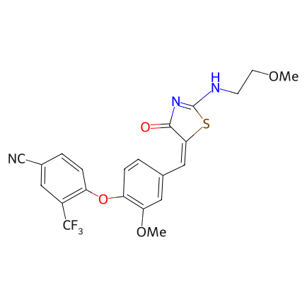 COCCNC1=NC(=O)/C(=C\c2ccc(Oc3ccc(C#N)cc3C(F)(F)F)c(OC)c2)S1